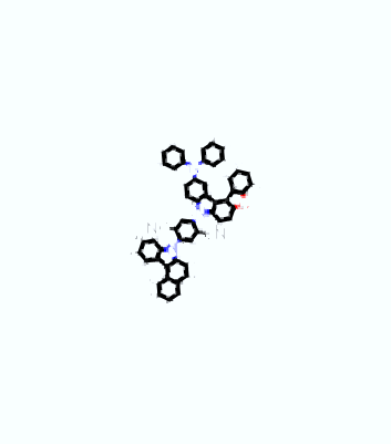 N#Cc1cc(-n2c3ccc(N(c4ccccc4)c4ccccc4)cc3c3c4c(ccc32)oc2ccccc24)c(C#N)cc1-n1c2ccccc2c2c3ccccc3ccc21